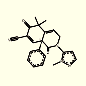 Cn1nccc1N1CC=C2C(C)(C)C(=O)C(C#N)=C[C@@]2(c2ccccc2)C1=O